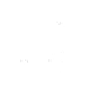 Nc1ccc(Oc2ccc(N)cc2)cc1.O=S(=O)(O)O